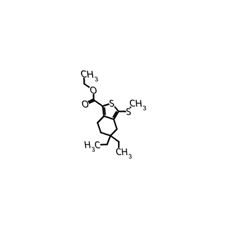 CCOC(=O)c1sc(SC)c2c1CCC(CC)(CC)C2